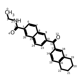 CCNC(=O)c1ccc2cc(C(=O)c3ccc4c(c3)CCCC4)ccc2c1